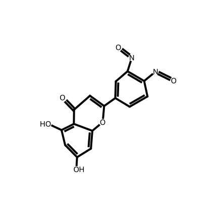 O=Nc1ccc(-c2cc(=O)c3c(O)cc(O)cc3o2)cc1N=O